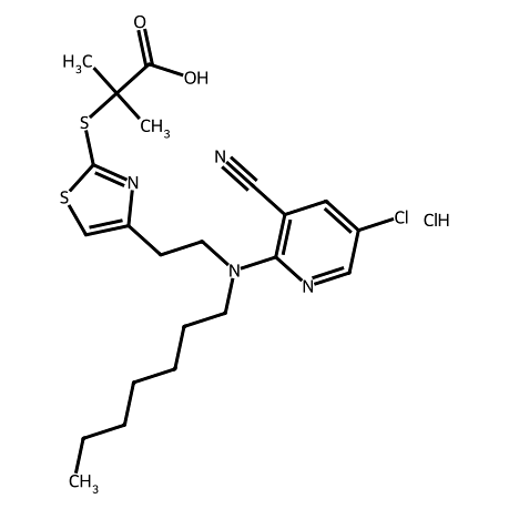 CCCCCCCN(CCc1csc(SC(C)(C)C(=O)O)n1)c1ncc(Cl)cc1C#N.Cl